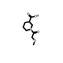 COCC(=O)N1CCCC(C(=O)O)C1